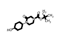 CC(C)(C)OC(=O)N1CCN([C@H]2CC[C@H](O)CC2)C(=O)C1